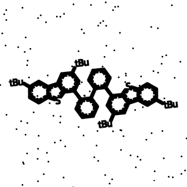 CC(C)(C)c1ccc2sc3c(-c4ccccc4-c4ccccc4-c4cc(C(C)(C)C)cc5c4sc4ccc(C(C)(C)C)cc45)cc(C(C)(C)C)cc3c2c1